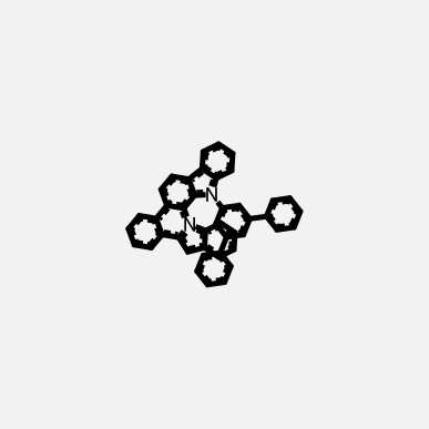 c1ccc(-c2cc(-c3ccccc3)cc(-n3c4ccccc4c4ccc5c6ccccc6c6cc7ccccc7n6c5c43)c2)cc1